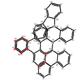 c1ccc(-c2ccccc2-c2c(-c3ccccc3)cccc2N(c2ccccc2-n2c3ccccc3c3ccccc32)c2cc3ccccc3c3ccccc23)cc1